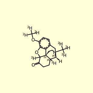 [2H]C([2H])([2H])Oc1ccc2c3c1OC1([2H])C(=O)CC[C@@]4([2H])[C@@H](C2)N(C([2H])([2H])[2H])CC[C@]314